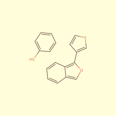 Sc1ccccc1.c1ccc2c(-c3ccsc3)occ2c1